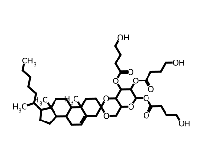 CCCCCC(C)C1CCC2C3CC=C4CC5(CCC4(C)C3CCC12C)OCC1OC(OC(=O)CCCO)C(OC(=O)CCCO)C(OC(=O)CCCO)C1O5